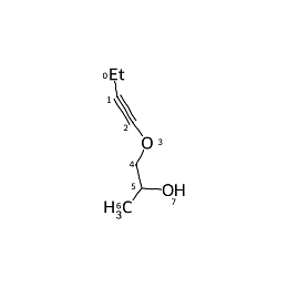 CCC#COCC(C)O